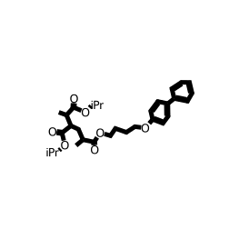 CC(C)OC(=O)C(C)C(CC(C)C(=O)OCCCCOc1ccc(-c2ccccc2)cc1)C(=O)OC(C)C